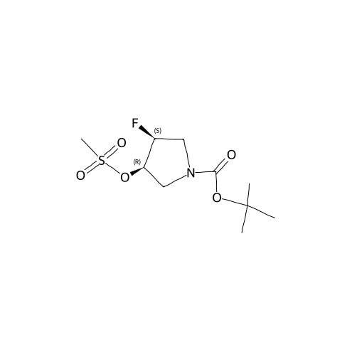 CC(C)(C)OC(=O)N1C[C@H](F)[C@H](OS(C)(=O)=O)C1